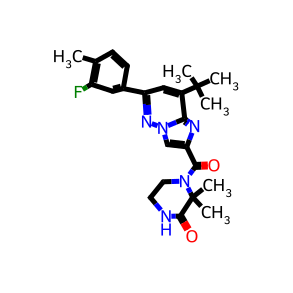 Cc1ccc(-c2cc(C(C)(C)C)c3nc(C(=O)N4CCNC(=O)C4(C)C)cn3n2)cc1F